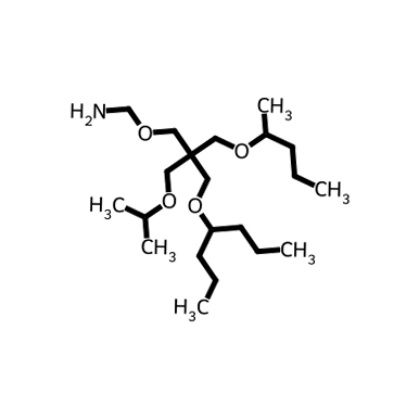 CCCC(C)OCC(COCN)(COC(C)C)COC(CCC)CCC